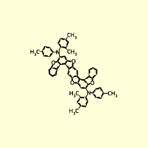 Cc1ccc(N(c2ccc(C)cc2C)c2cc3oc4cc5c(cc4c3c3c2oc2ccccc23)oc2cc(N(c3ccc(C)cc3)c3ccc(C)cc3C)c3oc4ccccc4c3c25)cc1